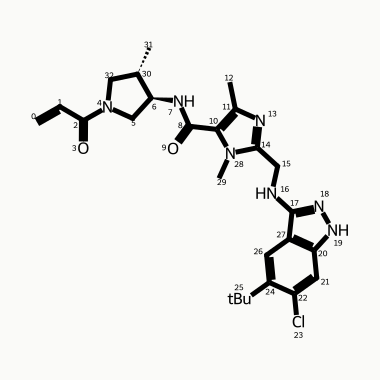 C=CC(=O)N1C[C@H](NC(=O)c2c(C)nc(CNc3n[nH]c4cc(Cl)c(C(C)(C)C)cc34)n2C)[C@@H](C)C1